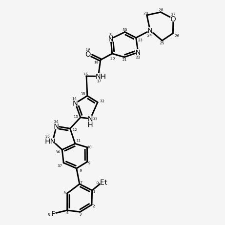 CCc1ccc(F)cc1-c1ccc2c(-c3nc(CNC(=O)c4cnc(N5CCOCC5)cn4)c[nH]3)n[nH]c2c1